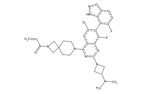 C=CC(=O)N1CC2(CCN(c3nc(N4CC(N(C)C)C4)nc4c(F)c(-c5c(F)ccc6cn[nH]c56)c(Cl)cc34)CC2)C1